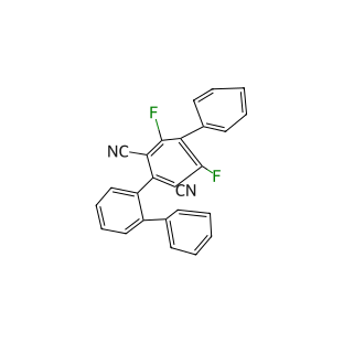 N#Cc1c(F)c(-c2ccccc2)c(F)c(C#N)c1-c1ccccc1-c1ccccc1